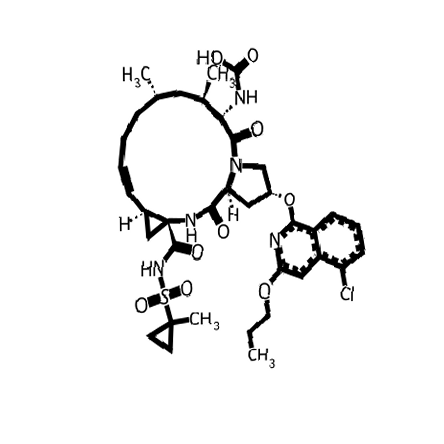 CCCOc1cc2c(Cl)cccc2c(O[C@@H]2C[C@H]3C(=O)N[C@]4(C(=O)NS(=O)(=O)C5(C)CC5)C[C@H]4C=CCC[C@H](C)C[C@@H](C)[C@H](NC(=O)O)C(=O)N3C2)n1